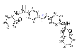 C(=C\c1ccc(Nc2nc3ccccc3o2)cc1)/c1ccc(Nc2nc3ccccc3o2)cc1